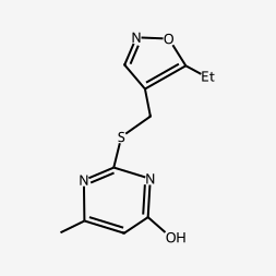 CCc1oncc1CSc1nc(C)cc(O)n1